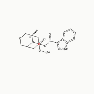 CC(C)(C)OC(=O)N1C2COC[C@@H]1CC(OC(=O)c1c[nH]c3ccccc13)C2